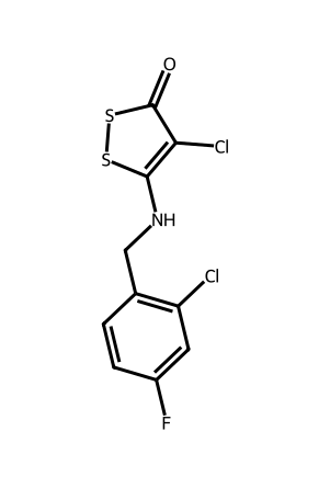 O=c1ssc(NCc2ccc(F)cc2Cl)c1Cl